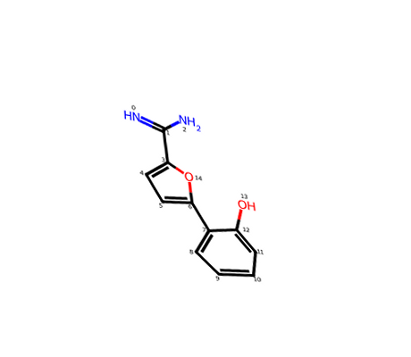 N=C(N)c1ccc(-c2ccccc2O)o1